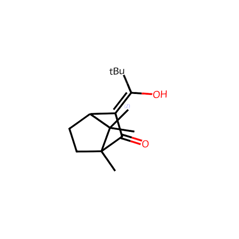 CC(C)(C)/C(O)=C1/C(=O)C2(C)CCC1C2(C)C